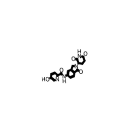 O=C1CCC(N2Cc3cc(NC(=O)c4ccc(O)cn4)ccc3C2=O)C(=O)N1